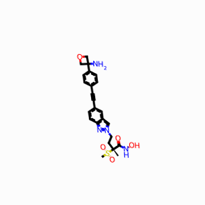 C[C@@](CCn1cc2cc(C#Cc3ccc(C4(N)COC4)cc3)ccc2n1)(C(=O)NO)S(C)(=O)=O